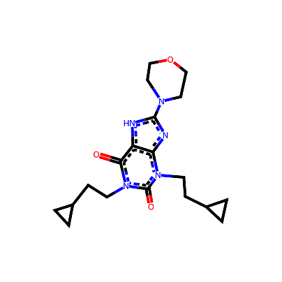 O=c1c2[nH]c(N3CCOCC3)nc2n(CCC2CC2)c(=O)n1CCC1CC1